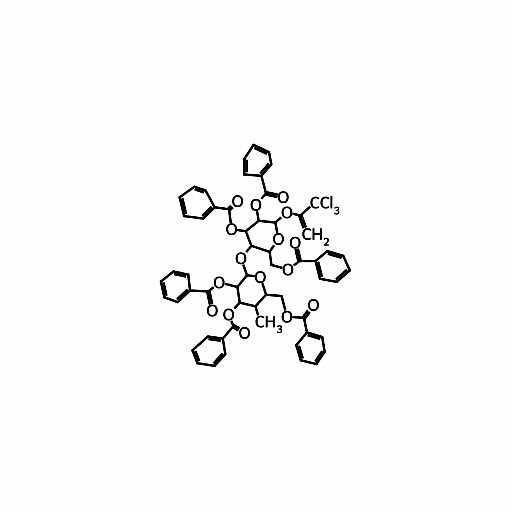 C=C(OC1OC(COC(=O)c2ccccc2)C(OC2OC(COC(=O)c3ccccc3)C(C)C(OC(=O)c3ccccc3)C2OC(=O)c2ccccc2)C(OC(=O)c2ccccc2)C1OC(=O)c1ccccc1)C(Cl)(Cl)Cl